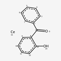 O=C(c1ccccc1)c1ccccc1O.[Ce]